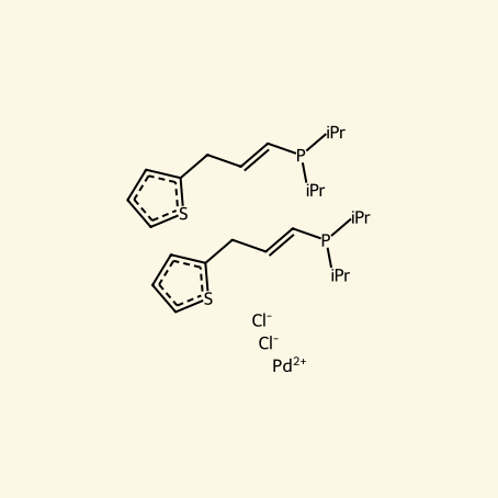 CC(C)P(C=CCc1cccs1)C(C)C.CC(C)P(C=CCc1cccs1)C(C)C.[Cl-].[Cl-].[Pd+2]